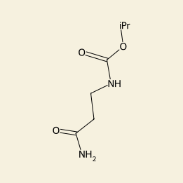 CC(C)OC(=O)NCCC(N)=O